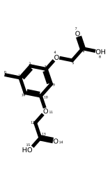 Cc1cc(OCC(=O)O)cc(OCC(=O)O)c1